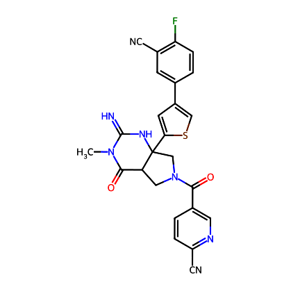 CN1C(=N)NC2(c3cc(-c4ccc(F)c(C#N)c4)cs3)CN(C(=O)c3ccc(C#N)nc3)CC2C1=O